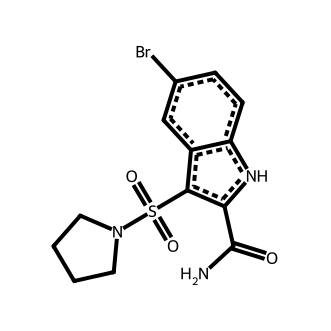 NC(=O)c1[nH]c2ccc(Br)cc2c1S(=O)(=O)N1CCCC1